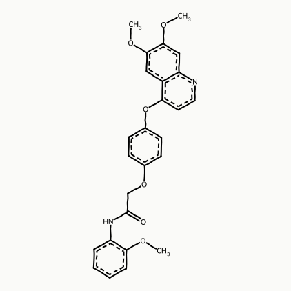 COc1ccccc1NC(=O)COc1ccc(Oc2ccnc3cc(OC)c(OC)cc23)cc1